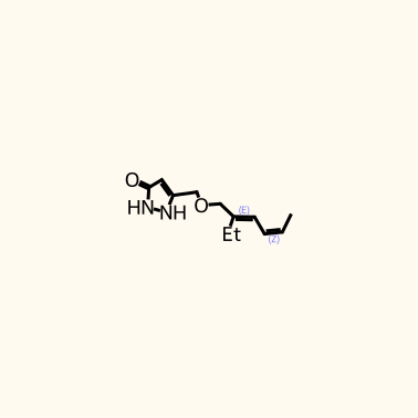 C/C=C\C=C(/CC)COCc1cc(=O)[nH][nH]1